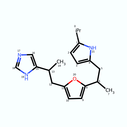 CC(C)c1ccc(CC(C)c2ccc(CC(C)c3cnc[nH]3)o2)[nH]1